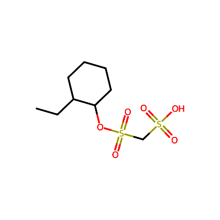 CCC1CCCCC1OS(=O)(=O)CS(=O)(=O)O